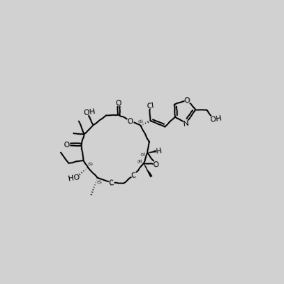 CCC1C(=O)C(C)(C)C(O)CC(=O)O[C@H](C(Cl)=Cc2coc(CO)n2)C[C@@H]2O[C@]2(C)CCC[C@H](C)[C@@H]1O